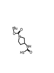 CC(C)(C)OC(=O)N1CCC(NC(=O)S)C1